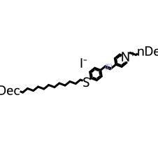 CCCCCCCCCCCCCCCCCCCCCCSc1ccc(/C=C/c2cc[n+](CCCCCCCCCCCC)cc2)cc1.[I-]